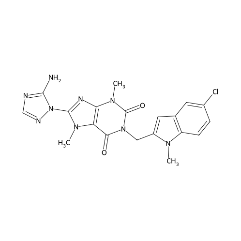 Cn1c(Cn2c(=O)c3c(nc(-n4ncnc4N)n3C)n(C)c2=O)cc2cc(Cl)ccc21